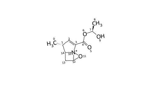 C[C@@H]1C=C(C(=O)O[C@@H](C)O)[N+]23OC2CC13